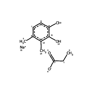 CCC(=O)[O-].Cc1ccc(Cl)c(O)c1C.[Na+]